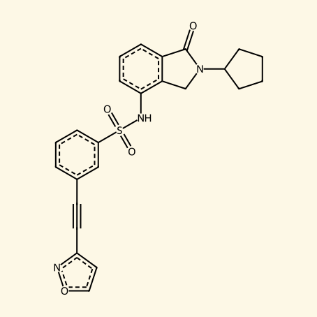 O=C1c2cccc(NS(=O)(=O)c3cccc(C#Cc4ccon4)c3)c2CN1C1CCCC1